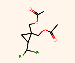 CC(=O)OCC1(COC(C)=O)CC1C(Br)Br